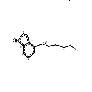 ClCCCCOc1cccc2[nH]ccc12